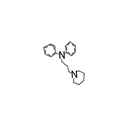 c1ccc(N(CCCN2CCCCC2)c2ccccc2)cc1